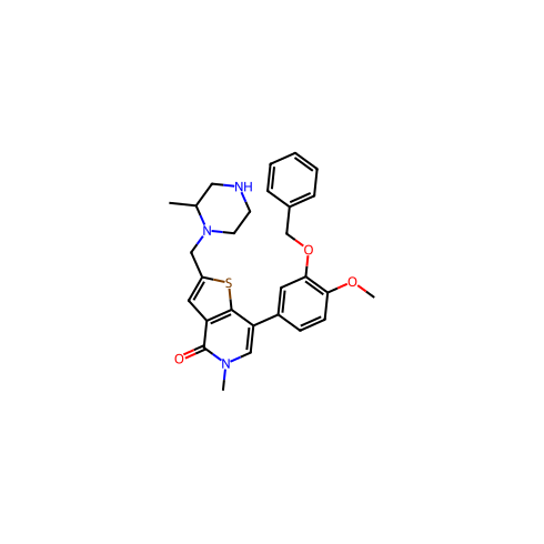 COc1ccc(-c2cn(C)c(=O)c3cc(CN4CCNCC4C)sc23)cc1OCc1ccccc1